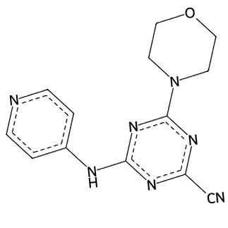 N#Cc1nc(Nc2ccncc2)nc(N2CCOCC2)n1